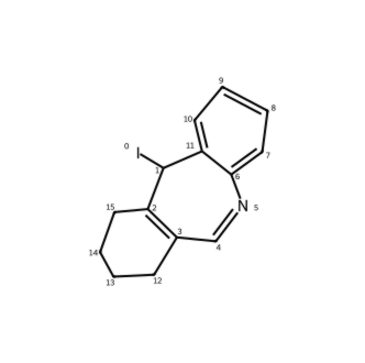 IC1C2=C(C=Nc3ccccc31)CCCC2